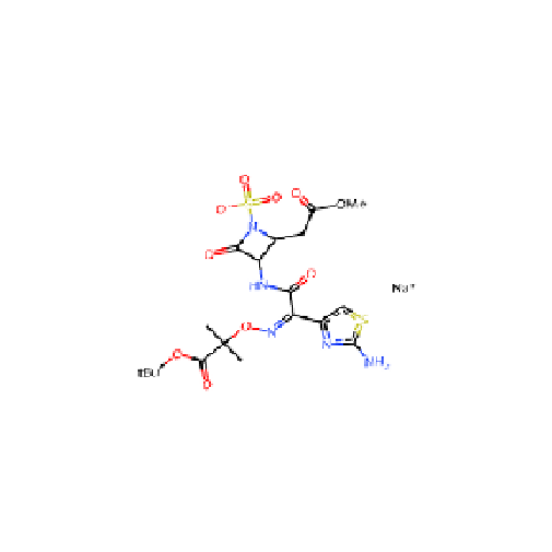 COC(=O)CC1C(NC(=O)C(=NOC(C)(C)C(=O)OC(C)(C)C)c2csc(N)n2)C(=O)N1S(=O)(=O)[O-].[Na+]